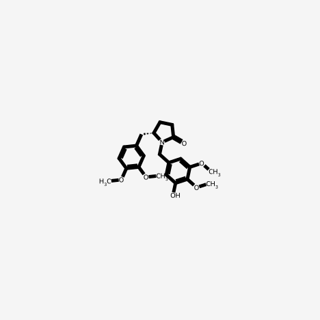 COc1ccc(C[C@@H]2CCC(=O)N2Cc2cc(O)c(OC)c(OC)c2)cc1OC